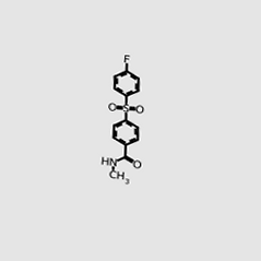 CNC(=O)c1ccc(S(=O)(=O)c2ccc(F)cc2)cc1